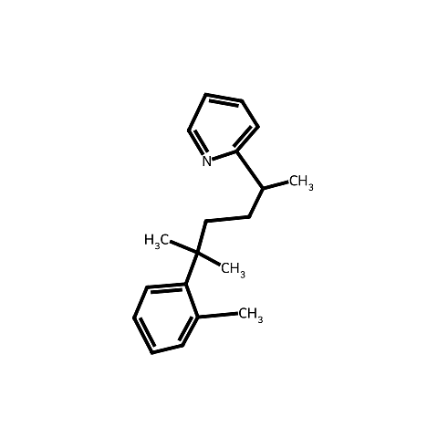 Cc1ccccc1C(C)(C)CCC(C)c1ccccn1